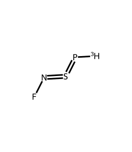 [3H]P=S=NF